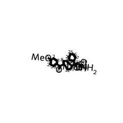 COc1ccc(C(=O)c2ccc3n2CCC3C(O)(CS(N)(=O)=O)c2ccccc2)cc1